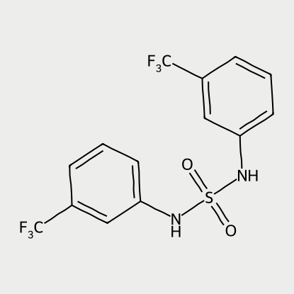 O=S(=O)(Nc1cccc(C(F)(F)F)c1)Nc1cccc(C(F)(F)F)c1